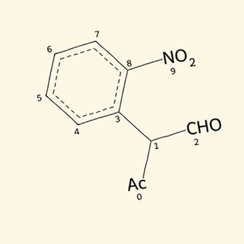 CC(=O)C(C=O)c1ccccc1[N+](=O)[O-]